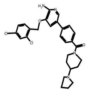 Nc1ncc(-c2ccc(C(=O)N3CCC(N4CCCC4)CC3)cc2)cc1OCc1ccc(Cl)cc1Cl